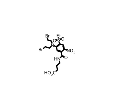 CCS(=O)(=O)c1cc([N+](=O)[O-])c(C(=O)NCCCC(=O)O)cc1N(CCBr)CCBr